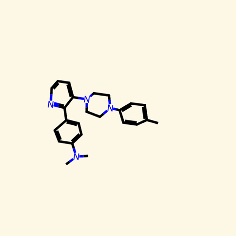 Cc1ccc(N2CCN(c3cccnc3-c3ccc(N(C)C)cc3)CC2)cc1